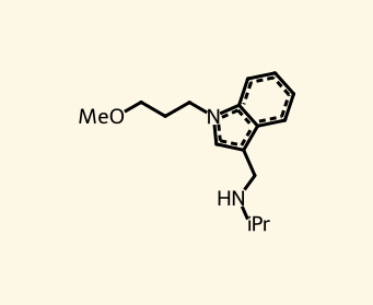 COCCCn1cc(CNC(C)C)c2ccccc21